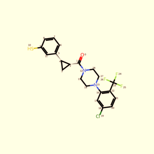 O=C([C@@H]1C[C@@H]1c1cccc(S)c1)N1CCN(c2cc(Cl)ccc2C(F)(F)F)CC1